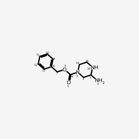 NC1CN(C(=O)OCc2ccccc2)CCN1